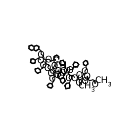 COC1C(OCC(OCc2ccccc2)C(OCc2ccccc2)C(COP(=O)(OCc2ccccc2)OC2C(COCc3ccccc3)OC(OCC(OCc3ccccc3)C(OCc3ccccc3)C(COCc3ccc4ccccc4c3)OCc3ccccc3)C2OC)OCc2ccccc2)OC(COCc2ccccc2)C1OC(=O)CCC(C)=O